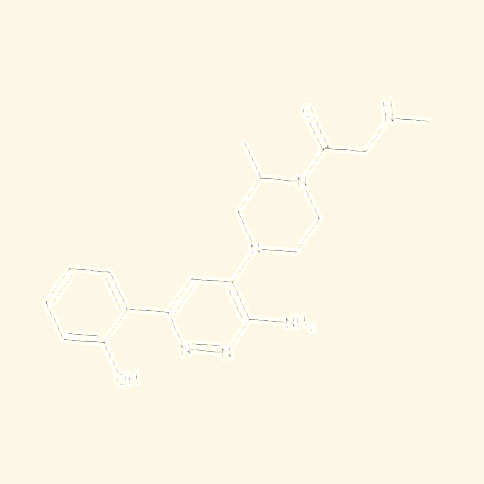 CNCC(=O)N1CCN(c2cc(-c3ccccc3O)nnc2N)CC1C